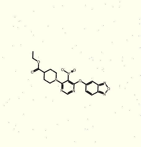 CCOC(=O)C1CCN(c2ncnc(Oc3ccc4nonc4c3)c2[N+](=O)[O-])CC1